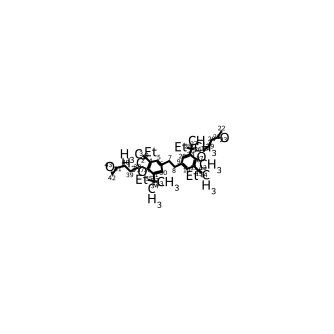 CCC(C)(C)c1cc(CCc2cc(C(C)(C)CC)c(OCCCC3CO3)c(C(C)(C)CC)c2)cc(C(C)(C)CC)c1OCCCC1CO1